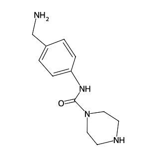 NCc1ccc(NC(=O)N2CCNCC2)cc1